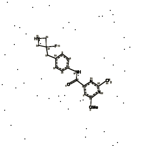 COc1cc(C(=O)Nc2ccc(CC3(F)CNC3)cc2)nc(C(F)(F)F)n1